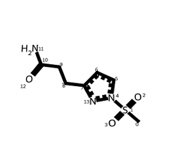 CS(=O)(=O)n1ccc([CH]CC(N)=O)n1